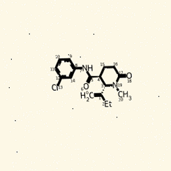 C=C(CC)[C@@H]1[C@@H](C(=O)Nc2cccc(Cl)c2)CCC(=O)N1C